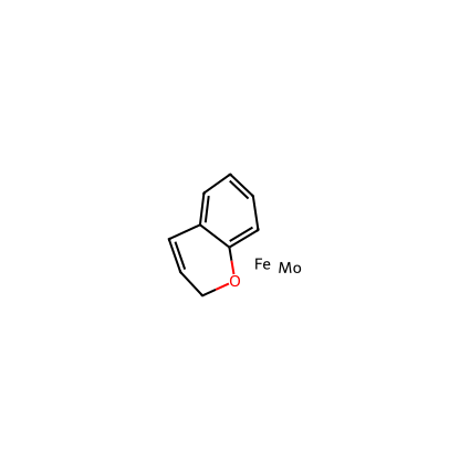 C1=Cc2ccccc2OC1.[Fe].[Mo]